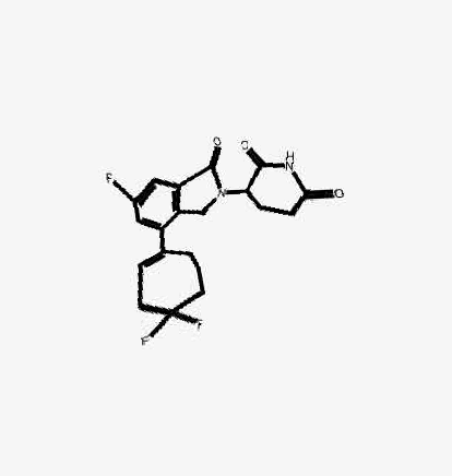 O=C1CCC(N2Cc3c(cc(F)cc3C3=CCC(F)(F)CC3)C2=O)C(=O)N1